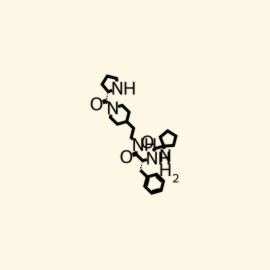 NC1(C(=O)N[C@H](Cc2ccccc2)C(=O)NCCC2CCN(C(=O)[C@@H]3CCCN3)CC2)CCCC1